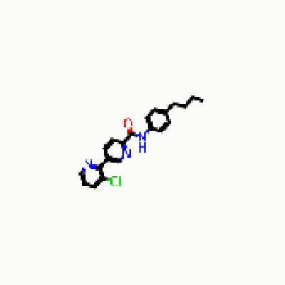 CCCCc1ccc(NC(=O)c2ccc(-c3ncccc3Cl)cn2)cc1